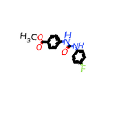 COC(=O)c1ccc(NC(=O)Nc2ccc(F)cc2)cc1